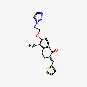 Cc1c(OCCn2ccnc2)ccc2c1CCC(=Cc1cccs1)C2=O